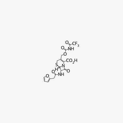 O=C(Cc1ccco1)NC1C(=O)N2C(C(=O)O)=C(COC(=O)NC(=O)C(F)(F)F)CS[C@H]12